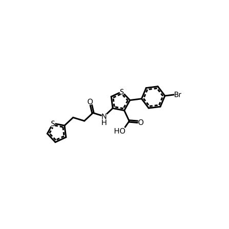 O=C(CCc1cccs1)Nc1csc(-c2ccc(Br)cc2)c1C(=O)O